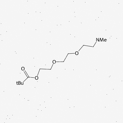 CNCCOCCOCCOC(=O)C(C)(C)C